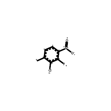 Cc1ccc([N+](=O)[O-])c(F)c1Cl